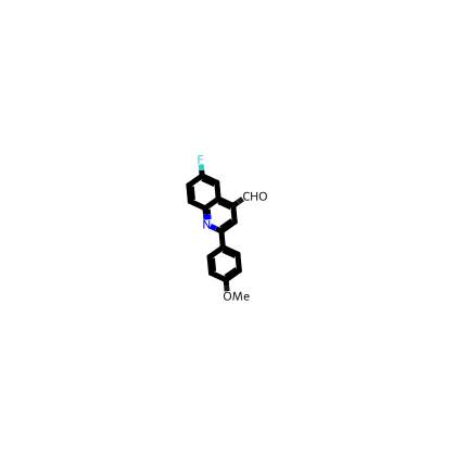 COc1ccc(-c2cc(C=O)c3cc(F)ccc3n2)cc1